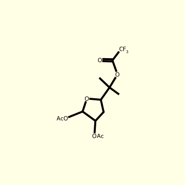 CC(=O)OC1CC(C(C)(C)OC(=O)C(F)(F)F)OC1OC(C)=O